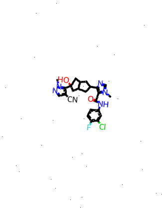 Cn1cnc(C2CC3CC(O)(c4c(C#N)cnn4C)CC3C2)c1C(=O)Nc1ccc(F)c(Cl)c1